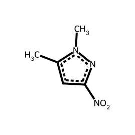 Cc1cc([N+](=O)[O-])nn1C